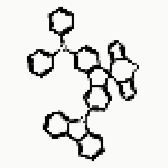 c1ccc(N(c2ccccc2)c2ccc3c(c2)-c2cc(-n4c5ccccc5c5ccccc54)ccc2C32c3ccccc3Oc3ccccc32)cc1